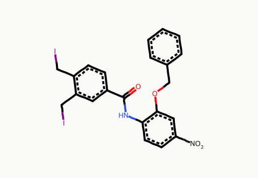 O=C(Nc1ccc([N+](=O)[O-])cc1OCc1ccccc1)c1ccc(CI)c(CI)c1